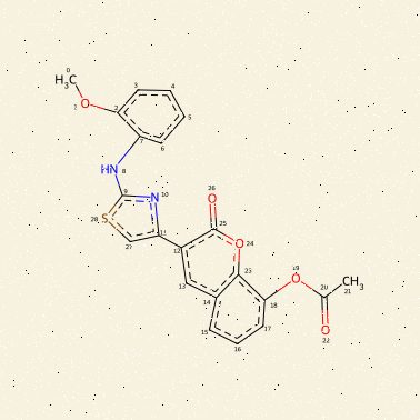 COc1ccccc1Nc1nc(-c2cc3cccc(OC(C)=O)c3oc2=O)cs1